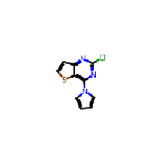 Clc1nc(-n2cccc2)c2sccc2n1